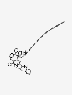 C#CC#CC#CC#CC#CC#CC#CC#CC#CC[C@@]1(O)C(=O)OCc2c1cc1n(c2=O)Cc2cc3ccccc3nc2-1